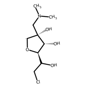 CN(C)C[C@]1(O)[CH]O[C@H](C(O)CCl)[C@H]1O